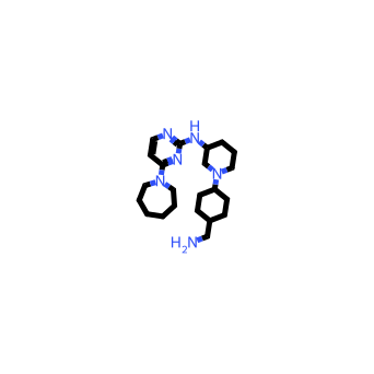 NCC1CCC(N2CCCC(Nc3nccc(N4CCCCCC4)n3)C2)CC1